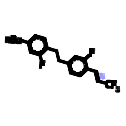 CCCCc1ccc(CCc2ccc(/C=C/C(F)(F)F)c(F)c2)c(F)c1